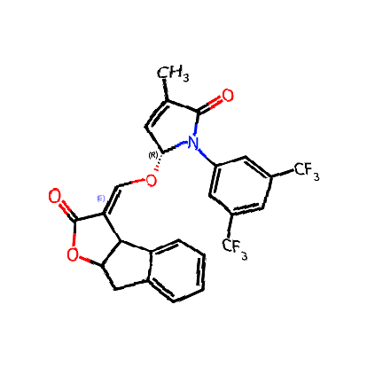 CC1=C[C@@H](O/C=C2/C(=O)OC3Cc4ccccc4C23)N(c2cc(C(F)(F)F)cc(C(F)(F)F)c2)C1=O